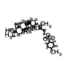 Cc1ccc(S(=O)(=O)OCCCC(C)[C@H]2CC[C@H]3[C@@H]4CC[C@@H]5C[C@](C)(O)CC[C@@H]5[C@H]4CC[C@]23C)cc1